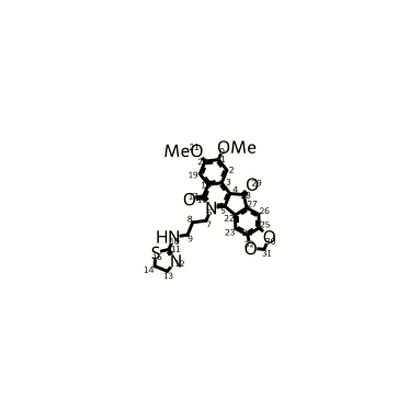 COc1cc2c3c(n(CCCNC4=NCCS4)c(=O)c2cc1OC)-c1cc2c(cc1C3=O)OCO2